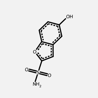 NS(=O)(=O)c1cc2cc(O)ccc2o1